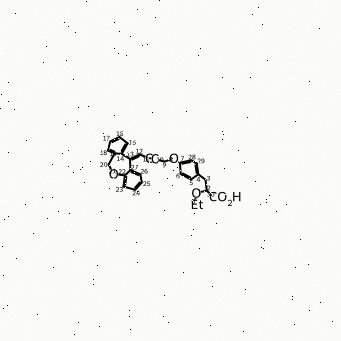 CCOC(Cc1ccc(OCCC/C=C2/c3ccccc3COc3ccccc32)cc1)C(=O)O